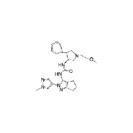 COCCN1CC(c2ccccc2)[C@H](NC(=O)Nc2c3c(nn2-c2cnn(C)c2)CCC3)C1